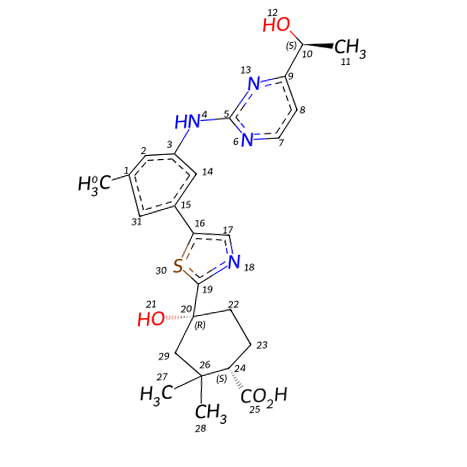 Cc1cc(Nc2nccc([C@H](C)O)n2)cc(-c2cnc([C@@]3(O)CC[C@H](C(=O)O)C(C)(C)C3)s2)c1